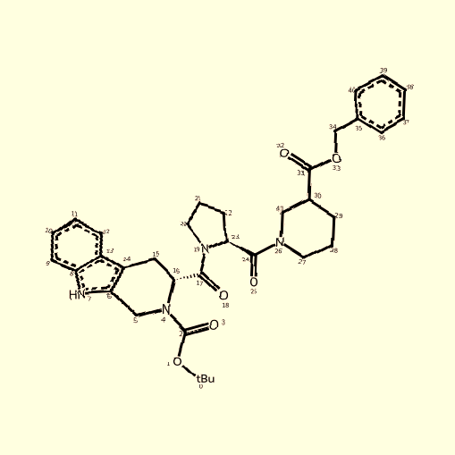 CC(C)(C)OC(=O)N1Cc2[nH]c3ccccc3c2C[C@@H]1C(=O)N1CCC[C@H]1C(=O)N1CCCC(C(=O)OCc2ccccc2)C1